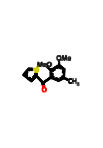 COc1cc(C)cc(C(=O)c2cccs2)c1OC